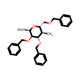 CO[C@H]1O[C@H](COCc2ccccc2)[C@@H](C)[C@H](OCc2ccccc2)[C@H]1OCc1ccccc1